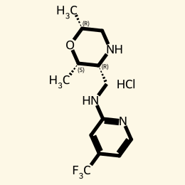 C[C@@H]1CN[C@H](CNc2cc(C(F)(F)F)ccn2)[C@H](C)O1.Cl